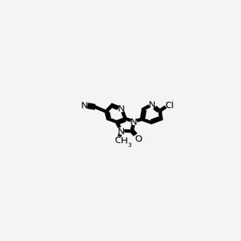 Cn1c(=O)n(-c2ccc(Cl)nc2)c2ncc(C#N)cc21